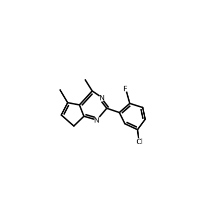 CC1=CCc2nc(-c3cc(Cl)ccc3F)nc(C)c21